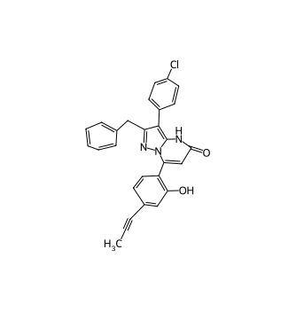 CC#Cc1ccc(-c2cc(=O)[nH]c3c(-c4ccc(Cl)cc4)c(Cc4ccccc4)nn23)c(O)c1